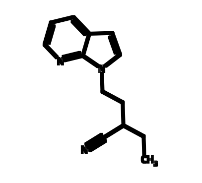 CCC(C#N)CCn1ccc2cccnc21